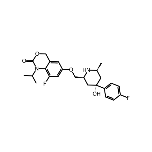 CC(C)N1C(=O)OCc2cc(OC[C@@H]3C[C@](O)(c4ccc(F)cc4)C[C@H](C)N3)cc(F)c21